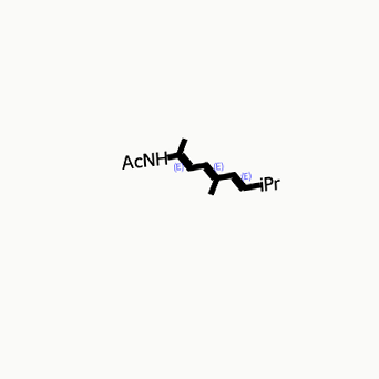 CC(=O)N/C(C)=C/C=C(C)/C=C/C(C)C